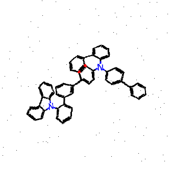 c1ccc(-c2ccc(N(c3ccc(-c4cccc(-c5ccccc5-n5c6ccccc6c6ccccc65)c4)cc3)c3ccccc3-c3ccccc3)cc2)cc1